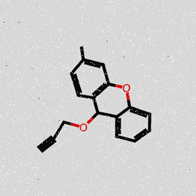 C#CCOC1c2ccccc2Oc2cc(C)ccc21